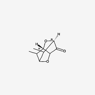 CC1C2OC3C(=O)[C@H](O[C@H]31)C2C